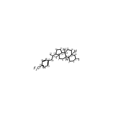 C[C@H]1CC[C@@H]2C3CC[C@@]4(C)C(CCC4[C@H](C)Cc4ccc(C(F)(F)F)nc4)[C@@H]3CC[C@@H]2C1